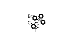 Fc1ccc(Cl)c(CC[P+](c2ccccc2)(c2ccccc2)c2ccccc2)c1Cl.[Br-]